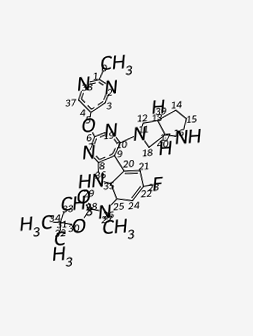 Cc1ncc(Oc2nc3c(c(N4C[C@H]5CCN[C@H]5C4)n2)C2=CC(F)=CC(N(C)C(=O)OC(C)(C)C)C2N3)cn1